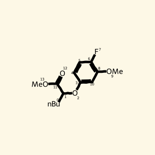 CCCCC(Oc1ccc(F)c(OC)c1)C(=O)OC